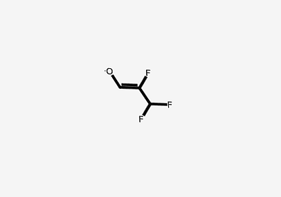 [O]C=C(F)C(F)F